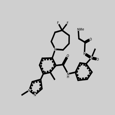 CNCC(=O)N=S(C)(=O)c1cccc(NC(=O)c2c(N3CCCC(F)(F)CC3)ccc(-c3cnn(C)c3)c2C)c1